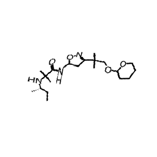 CC[C@H](C)NC(C)(C)C(=O)NC1CC(C(C)(C)COC2CCCCO2)=NO1